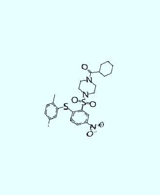 Cc1ccc(C)c(Sc2ccc([N+](=O)[O-])cc2S(=O)(=O)N2CCN(C(=O)C3CCCCC3)CC2)c1